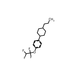 CCCC1CCC(c2ccc(OC(F)(F)C(F)F)cc2)CC1